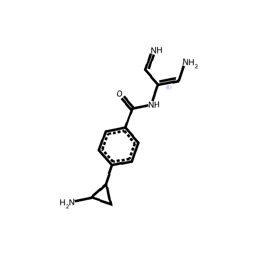 N=C/C(=C\N)NC(=O)c1ccc(C2CC2N)cc1